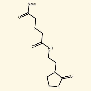 CNC(=O)CSCC(=O)NCCN1CCSC1=O